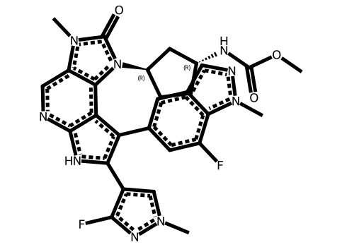 COC(=O)N[C@@H]1CC[C@@H](n2c(=O)n(C)c3cnc4[nH]c(-c5cn(C)nc5F)c(-c5cc(F)c6c(cnn6C)c5)c4c32)C1